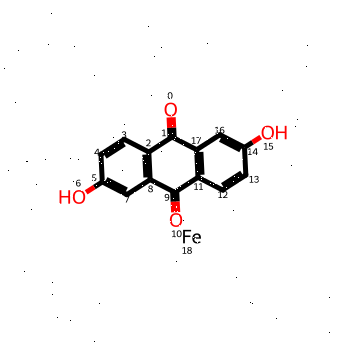 O=C1c2ccc(O)cc2C(=O)c2ccc(O)cc21.[Fe]